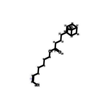 CC/C=C\CCCCCOC(=O)CCCC1=CCC2CC1C2(C)C